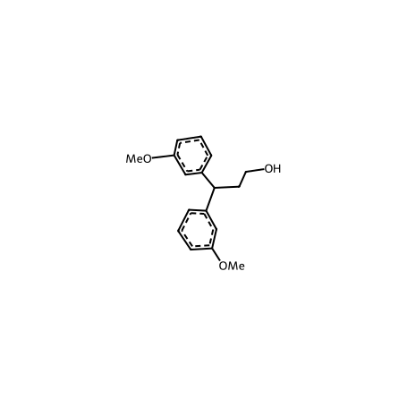 COc1cccc(C(CCO)c2cccc(OC)c2)c1